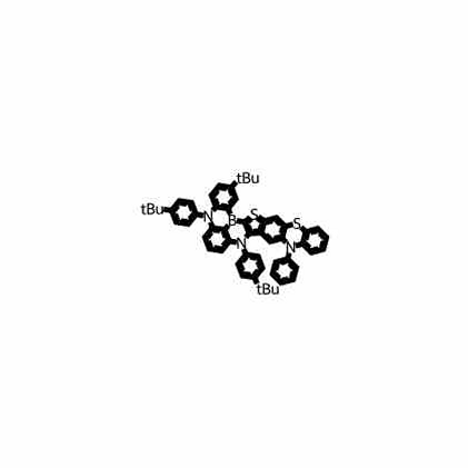 CC(C)(C)c1ccc(N2c3ccc(C(C)(C)C)cc3B3c4sc5cc6c(cc5c4N(c4ccc(C(C)(C)C)cc4)c4cccc2c43)N(c2ccccc2)c2ccccc2S6)cc1